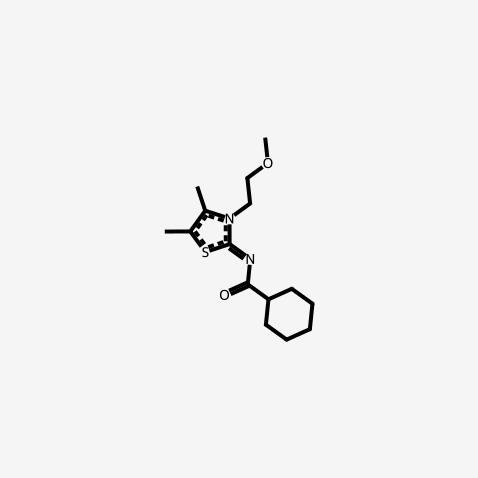 COCCn1c(C)c(C)sc1=NC(=O)C1CCCCC1